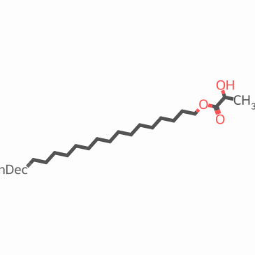 CCCCCCCCCCCCCCCCCCCCCCCCCCOC(=O)C(C)O